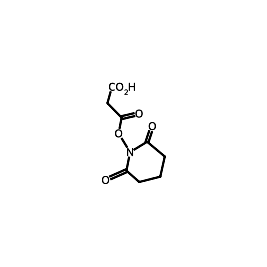 O=C(O)CC(=O)ON1C(=O)CCCC1=O